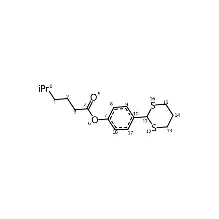 CC(C)CCCC(=O)Oc1ccc(C2SCCCS2)cc1